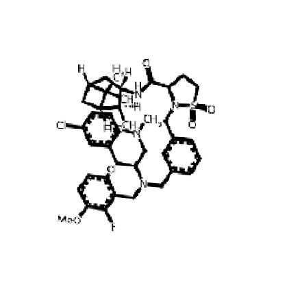 COc1ccc(Cl)c(CN(Cc2cccc(CN3C(C(=O)N[C@H]4C[C@H]5C[C@@H]([C@@H]4C)C5(C)C)CCS3(=O)=O)c2)[C@@H](Cc2cccc(Cl)c2)CN(C)C)c1F